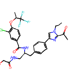 CCn1cc(-c2ccc(CC(CNC(=O)CO)NC(=O)c3ccc(OC(C)C(F)(F)F)c(Cl)c3)cc2)nc1C(C)=O